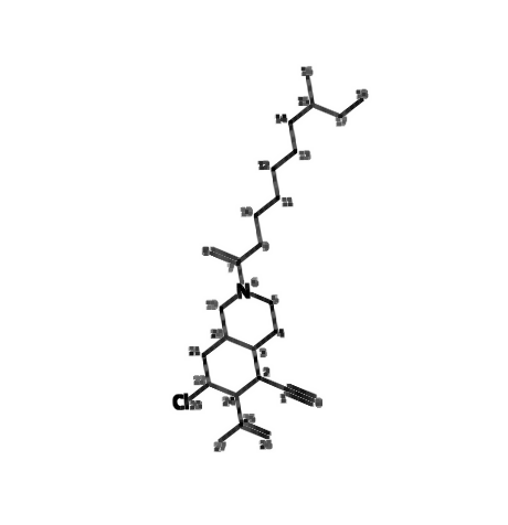 C#CC1C2CCN(C(=C)CCCCCCC(C)CC)CC2CC(Cl)C1C(=C)C